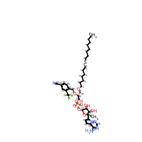 CCCCCCCCCCCCCCCCCCOC[C@H](COP(=O)(O)O[C@H]1O[C@@](C)(c2ccc3c(N)ncnn23)[C@H](O)[C@@H]1O)OCc1ccc(C#N)cc1C(F)(F)F